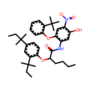 CCCCC(Oc1ccc(C(C)(C)CC)cc1C(C)(C)CC)C(=O)Nc1cc(O)c([N+](=O)[O-])cc1Oc1ccccc1C(C)(C)C